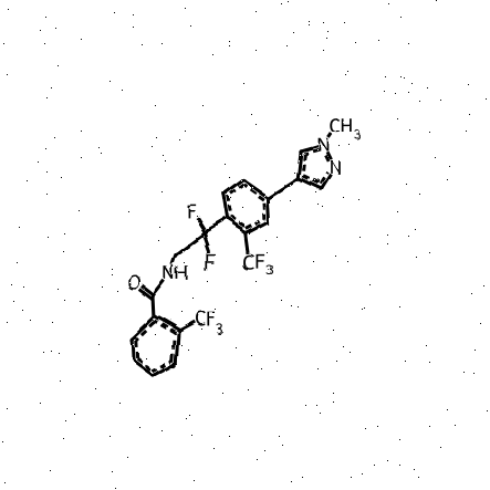 Cn1cc(-c2ccc(C(F)(F)CNC(=O)c3ccccc3C(F)(F)F)c(C(F)(F)F)c2)cn1